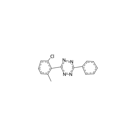 Cc1cccc(Cl)c1-c1nnc(-c2ccccc2)nn1